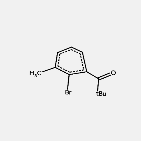 Cc1cccc(C(=O)C(C)(C)C)c1Br